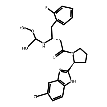 CC(C)(C)OC(O)N[C@@H](CC(=O)N1CCC[C@H]1c1nc2cc(Cl)ccc2[nH]1)Cc1ccccc1F